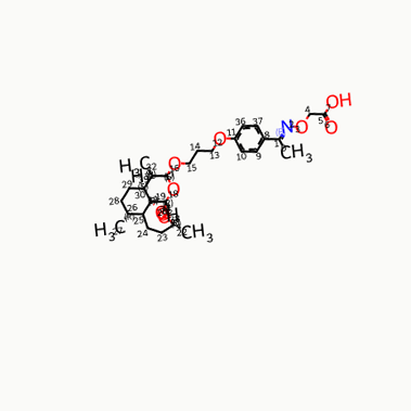 C/C(=N\OCC(=O)O)c1ccc(OCCCO[C@H]2O[C@@H]3O[C@@]4(C)CCC5[C@H](C)CC[C@@H]([C@H]2C)[C@]53OO4)cc1